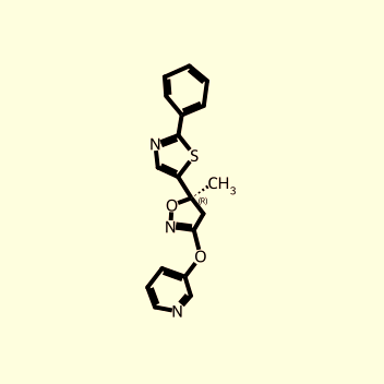 C[C@]1(c2cnc(-c3ccccc3)s2)CC(Oc2cccnc2)=NO1